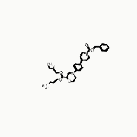 CCCCOC(OCCCC)[C@@H]1CN(c2ccc(C3CCN(C(=O)OCc4ccccc4)CC3)cc2)CCO1